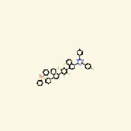 O=P(c1ccccc1)(c1ccccc1)c1cccc(-c2ccc(-c3c(F)c(F)c(-c4ccc(-c5nc(-c6ccc(F)cc6)nc(-c6ccc(F)cc6)n5)c5ccccc45)c(F)c3F)c3ccccc23)c1